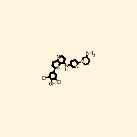 NC1CCCN(c2ccc(Nc3[c]cnc4ccc(-c5cc(Cl)c(O)c(Cl)c5)nc34)cn2)C1